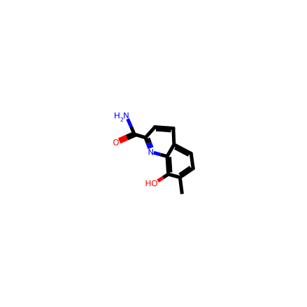 Cc1ccc2ccc(C(N)=O)nc2c1O